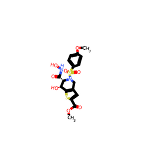 COC(=O)c1cc2c(s1)[C@H](O)[C@H](C(=O)NO)N(S(=O)(=O)c1ccc(OC)cc1)C2